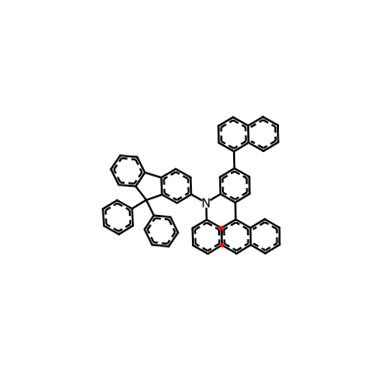 c1ccc(N(c2ccc3c(c2)C(c2ccccc2)(c2ccccc2)c2ccccc2-3)c2cc(-c3cccc4ccccc34)ccc2-c2cccc3ccccc23)cc1